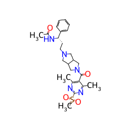 CC(=O)N[C@@H](CCN1CC2CN(C(=O)c3c(C)nc(S(C)(=O)=O)nc3C)CC2C1)c1ccccc1